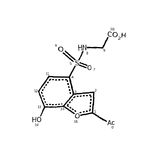 CC(=O)c1cc2c(S(=O)(=O)NCC(=O)O)ccc(O)c2o1